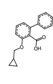 O=C(O)c1c(OCC2CC2)cccc1-c1ccccc1